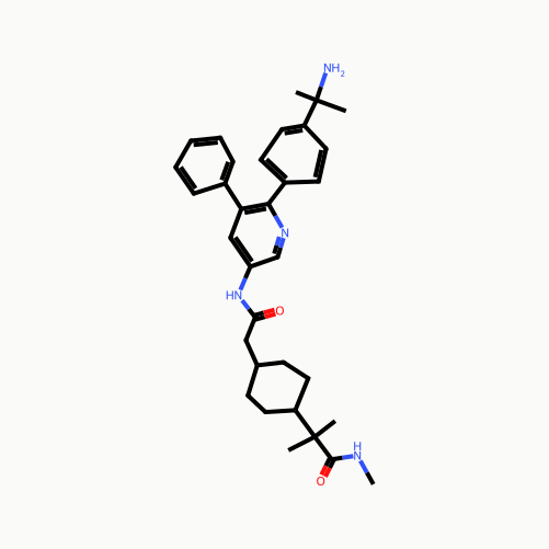 CNC(=O)C(C)(C)C1CCC(CC(=O)Nc2cnc(-c3ccc(C(C)(C)N)cc3)c(-c3ccccc3)c2)CC1